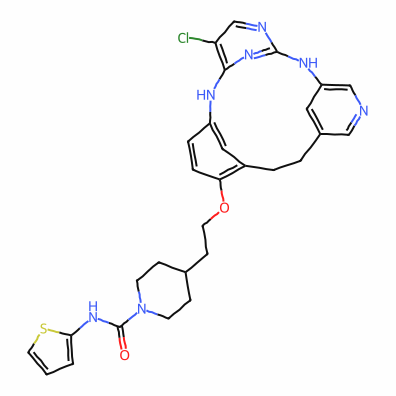 O=C(Nc1cccs1)N1CCC(CCOc2ccc3cc2CCc2cncc(c2)Nc2ncc(Cl)c(n2)N3)CC1